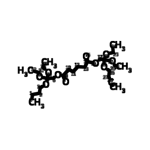 CCCCOC(COC(=O)CCCCC(=O)OCC(OCC)(OCC)OCCCC)(OCC)OCC